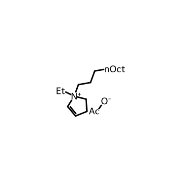 CC(=O)[O-].CCCCCCCCCCC[N+]1(CC)C=CCC1